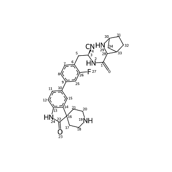 C=C(N[C@H](C#N)Cc1ccc(-c2ccc3c(c2)C2(CCNCC2)C(=O)N3)cc1F)C1NC2CCC1C2